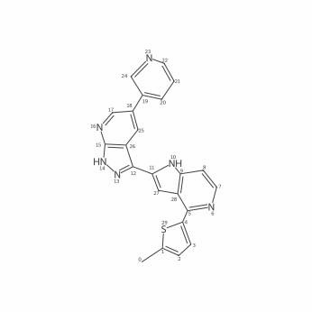 Cc1ccc(-c2nccc3[nH]c(-c4n[nH]c5ncc(-c6cccnc6)cc45)cc23)s1